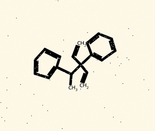 C=CC(C=C)(c1ccccc1)C(C)c1ccccc1